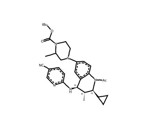 CC(=O)N1c2ccc(N3CCN(C(=O)OC(C)(C)C)C(C)C3)cc2[C@H](Nc2ccc(C#N)cn2)[C@@H](C)[C@@H]1C1CC1